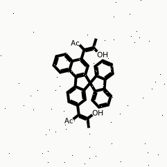 CC(=O)C(=C(C)O)c1ccc2c(c1)C1(c3ccccc3-c3ccccc31)c1cc(C(C(C)=O)=C(C)O)c3ccccc3c1-2